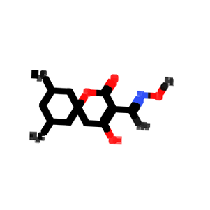 CCCC(=NOCC)C1=C(O)CC2(CC(C)CC(C)C2)OC1=O